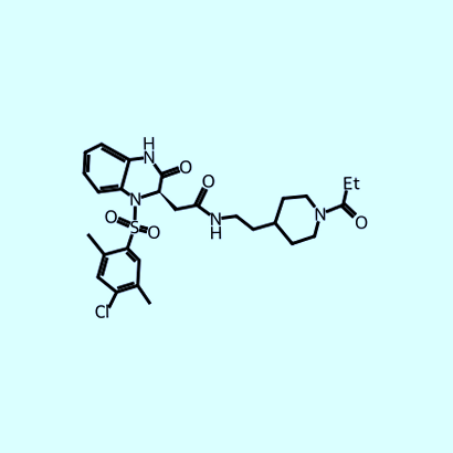 CCC(=O)N1CCC(CCNC(=O)C[C@@H]2C(=O)Nc3ccccc3N2S(=O)(=O)c2cc(C)c(Cl)cc2C)CC1